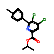 Cc1ccc(-c2nc(C(=O)OC(C)C)cc(Cl)c2Cl)cc1